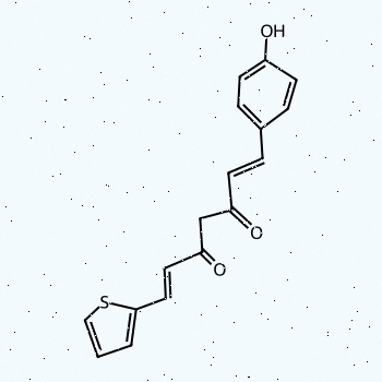 O=C(C=Cc1ccc(O)cc1)CC(=O)C=Cc1cccs1